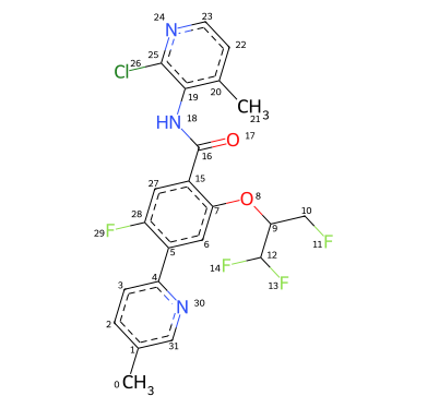 Cc1ccc(-c2cc(OC(CF)C(F)F)c(C(=O)Nc3c(C)ccnc3Cl)cc2F)nc1